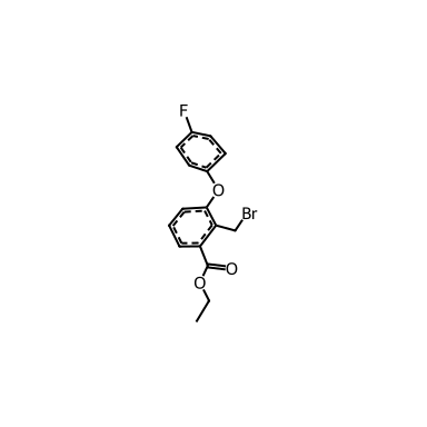 CCOC(=O)c1cccc(Oc2ccc(F)cc2)c1CBr